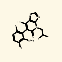 COc1c(Cl)ccc(Cl)c1-c1c(O)c2scnc2n(CC(F)F)c1=O